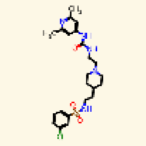 Cc1cc(NC(=O)NCCN2CCC(CCNS(=O)(=O)c3cccc(Cl)c3)CC2)cc(C)n1